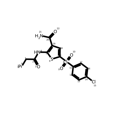 CC(C)CC(=O)Nc1sc(S(=O)(=O)c2ccc(Cl)cc2)cc1C(N)=O